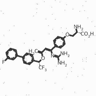 C=C(/C=C(\N=C(N)N)c1ccc(OC[C@H](N)C(=O)O)cc1)O[C@@H](c1ccc(-c2cccc(F)c2)cc1)C(F)(F)F